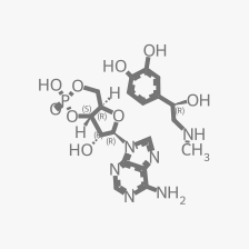 CNC[C@H](O)c1ccc(O)c(O)c1.Nc1ncnc2c1ncn2[C@@H]1O[C@@H]2COP(=O)(O)O[C@H]2[C@H]1O